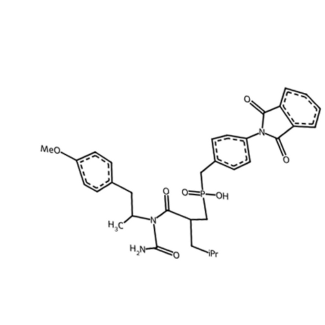 COc1ccc(CC(C)N(C(N)=O)C(=O)C(CC(C)C)CP(=O)(O)Cc2ccc(N3C(=O)c4ccccc4C3=O)cc2)cc1